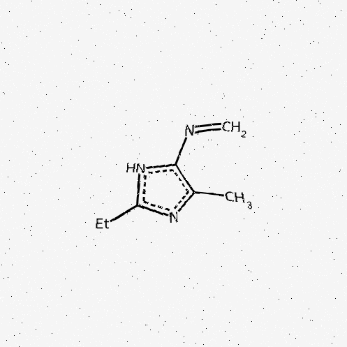 C=Nc1[nH]c(CC)nc1C